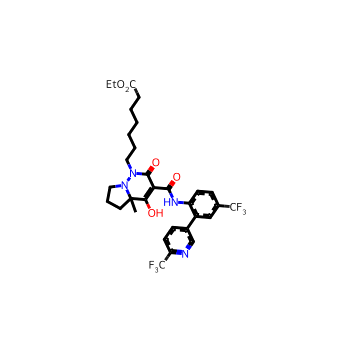 CCOC(=O)CCCCCCN1C(=O)C(C(=O)Nc2ccc(C(F)(F)F)cc2-c2ccc(C(F)(F)F)nc2)=C(O)C2(C)CCCN12